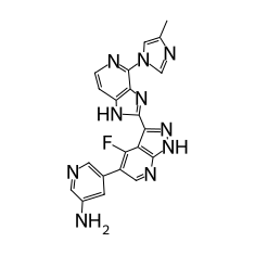 Cc1cn(-c2nccc3[nH]c(-c4n[nH]c5ncc(-c6cncc(N)c6)c(F)c45)nc23)cn1